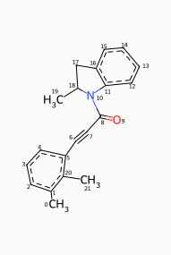 Cc1cccc(C#CC(=O)N2c3ccccc3CC2C)c1C